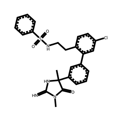 CN1C(=N)NC(C)(c2cccc(-c3cc(Cl)ccc3CCNS(=O)(=O)c3ccccc3)c2)C1=O